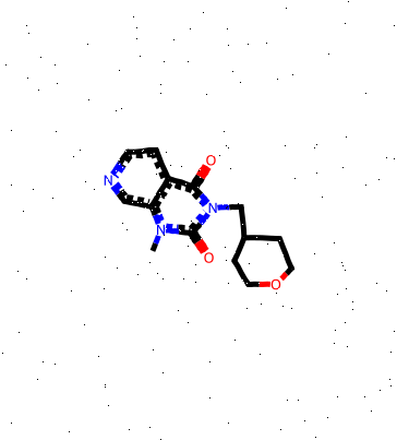 Cn1c(=O)n(CC2CCOCC2)c(=O)c2ccncc21